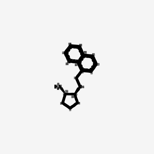 N[C@H]1CCC[C@@H]1OCc1cccc2cccnc12